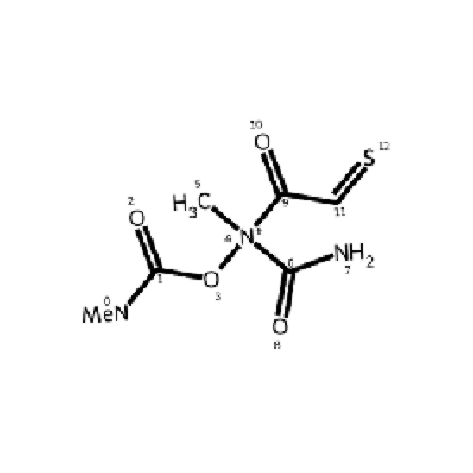 CNC(=O)O[N+](C)(C(N)=O)C(=O)C=S